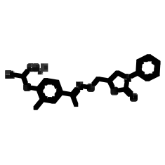 CCC(Oc1ccc(C(C)=NOCC2CN(c3ccccc3)C(=O)O2)cc1C)C(=O)O